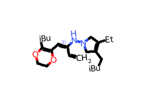 C=C/C(=C\C1=C(C(C)CC)OCCO1)NN1CC(CC)=C(CC(C)CC)C1